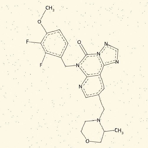 COc1ccc(Cn2c(=O)n3ncnc3c3cc(CN4CCOCC4C)cnc32)c(F)c1F